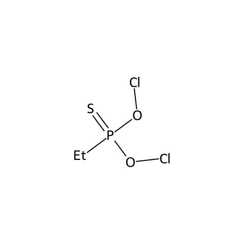 CCP(=S)(OCl)OCl